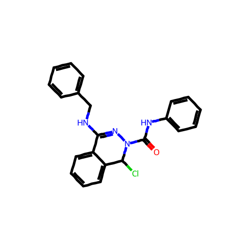 O=C(Nc1ccccc1)N1N=C(NCc2ccccc2)c2ccccc2C1Cl